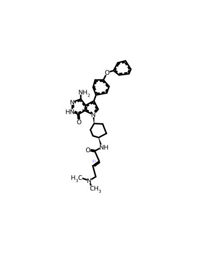 CN(C)C/C=C/C(=O)N[C@H]1CC[C@@H](n2cc(-c3ccc(Oc4ccccc4)cc3)c3c(N)n[nH]c(=O)c32)CC1